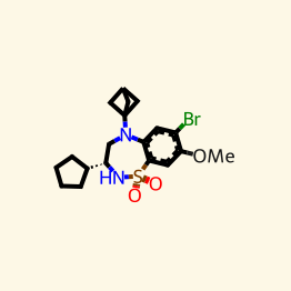 COc1cc2c(cc1Br)N(C13CC(C1)C3)C[C@@H](C1CCCC1)NS2(=O)=O